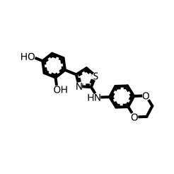 Oc1ccc(-c2csc(Nc3ccc4c(c3)OCCO4)n2)c(O)c1